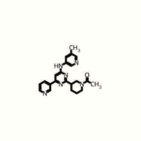 CC(=O)N1CCCC(c2nc(Nc3cncc(C)c3)cc(-c3cccnc3)n2)C1